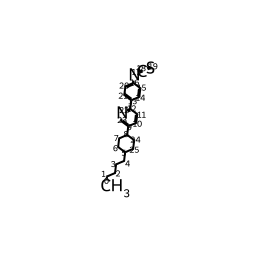 CCCCCC1CCC(c2ccc(-c3ccc(N=C=S)cc3)nc2)CC1